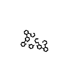 c1ccc(-c2ccccc2-c2ccc3c(c2)c2ccccc2n3-c2cccc(-n3c4ccc(-c5ccccc5-c5ccccn5)cc4c4ncccc43)c2)nc1